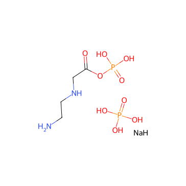 NCCNCC(=O)OP(=O)(O)O.O=P(O)(O)O.[NaH]